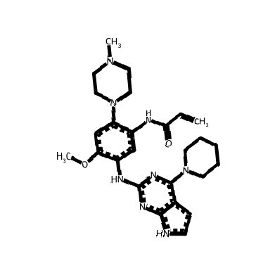 C=CC(=O)Nc1cc(Nc2nc(N3CCCCC3)c3cc[nH]c3n2)c(OC)cc1N1CCN(C)CC1